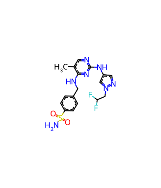 Cc1cnc(Nc2cnn(CC(F)F)c2)nc1NCc1ccc(S(N)(=O)=O)cc1